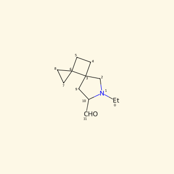 CCN1CC2(CCC23CC3)CC1C=O